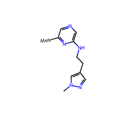 CNc1cncc(NCCc2cnn(C)c2)n1